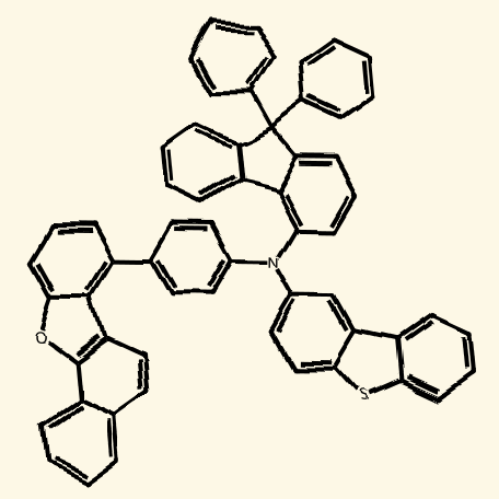 c1ccc(C2(c3ccccc3)c3ccccc3-c3c(N(c4ccc(-c5cccc6oc7c8ccccc8ccc7c56)cc4)c4ccc5sc6ccccc6c5c4)cccc32)cc1